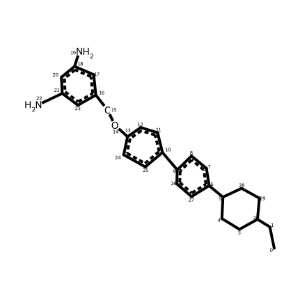 CCC1CCC(c2ccc(-c3ccc(OCc4cc(N)cc(N)c4)cc3)cc2)CC1